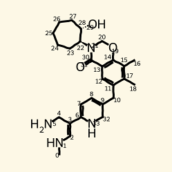 CN/C=C(\CN)C1=CC=C(Cc2cc3c(c(C)c2C)OCN([C@H]2CCCCC[C@@H]2O)C3=O)CN1